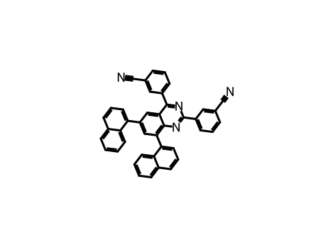 N#Cc1cccc(-c2nc(-c3cccc(C#N)c3)c3cc(-c4cccc5ccccc45)cc(-c4cccc5ccccc45)c3n2)c1